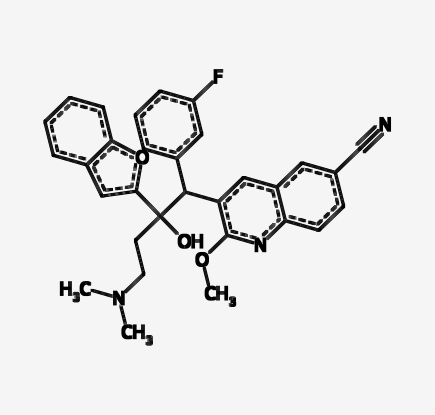 COc1nc2ccc(C#N)cc2cc1C(c1cccc(F)c1)C(O)(CCN(C)C)c1cc2ccccc2o1